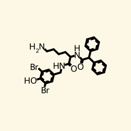 NCCCCC(NC(=O)C(c1ccccc1)c1ccccc1)C(=O)NCc1cc(Br)c(O)c(Br)c1